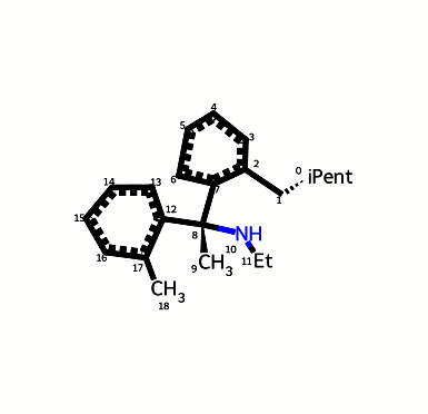 CCC[C@@H](C)Cc1ccccc1[C@](C)(NCC)c1ccccc1C